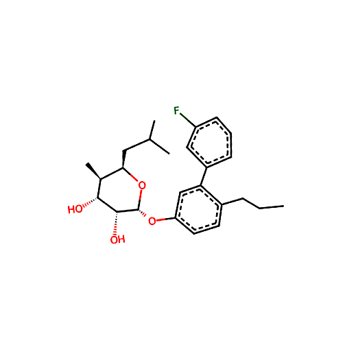 CCCc1ccc(O[C@H]2O[C@H](CC(C)C)[C@H](C)[C@@H](O)[C@H]2O)cc1-c1cccc(F)c1